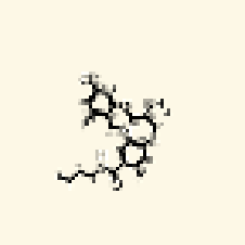 CCCCNC(=O)c1cc2c(cc1F)SC[C@H](N)C(=O)N2Cc1ccc(Cl)cc1F